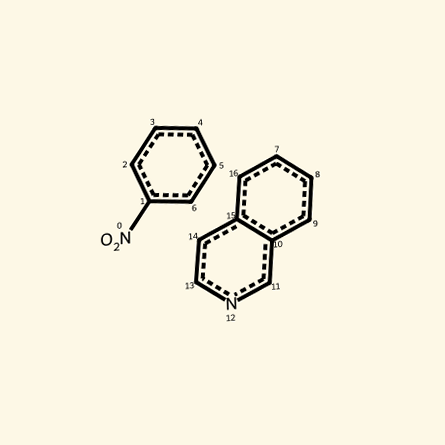 O=[N+]([O-])c1ccccc1.c1ccc2cnccc2c1